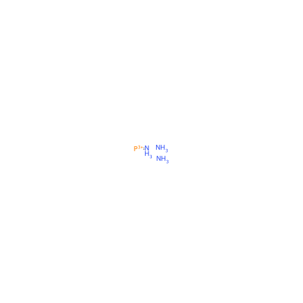 N.N.N.[P+3]